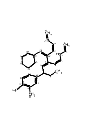 C=CN\C=C/C(=C\C(CC)c1ccc(F)c(C)c1)C(/C=C\N=C)=N\C1CCCCC1